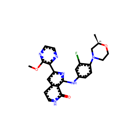 COc1nccnc1-c1cc2cc[nH]c(=O)c2c(Nc2ccc(N3CCO[C@H](C)C3)c(F)c2)n1